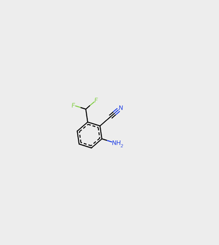 N#Cc1c(N)cccc1C(F)F